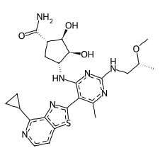 CO[C@H](C)CNc1nc(C)c(-c2nc3c(C4CC4)nccc3s2)c(N[C@@H]2C[C@H](C(N)=O)[C@@H](O)[C@H]2O)n1